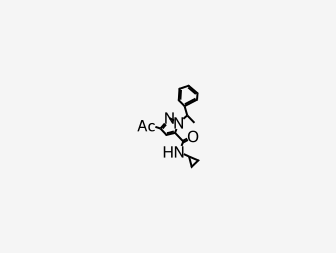 CC(=O)c1cc(C(=O)NC2CC2)n(C(C)c2ccccc2)n1